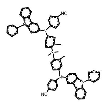 [C-]#[N+]c1ccc(N(c2ccc([Si](C)(C)c3ccc(N(c4ccc(C#N)cc4)c4ccc5c(c4)c4ccccc4n5-c4ccccc4)cc3C)c(C)c2)c2ccc3c(c2)c2ccccc2n3-c2ccccc2)cc1